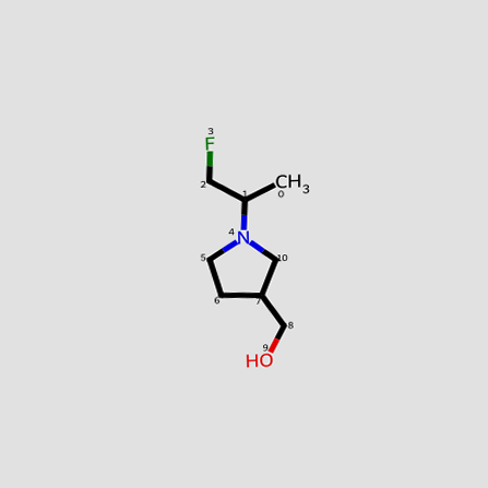 CC(CF)N1CCC(CO)C1